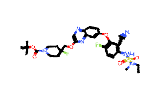 CCN(C)S(=O)(=O)Nc1ccc(F)c(Oc2ccc3ncc(OCC4(F)CCN(C(=O)OC(C)(C)C)CC4)nc3c2)c1C#N